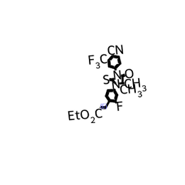 CCOC(=O)/C=C/c1ccc(N2C(=S)N(c3ccc(C#N)c(C(F)(F)F)c3)C(=O)C2(C)C)cc1F